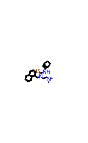 CN(C)CCN(Cc1cccc2ccccc12)[C@H](S)NC1CC2CCC1C2